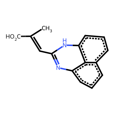 CC(=CC1=Nc2cccc3cccc(c23)N1)C(=O)O